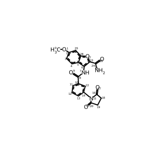 COc1ccc2c(NC(=O)c3cccc(N4C(=O)CCC4=O)c3)c(C(N)=O)oc2c1